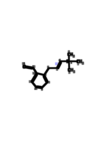 C[Si](C)(C)/C=C/Cc1ccccc1C=O